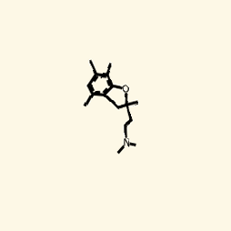 Cc1cc(C)c2c(c1C)OC(C)(CCN(C)C)C2